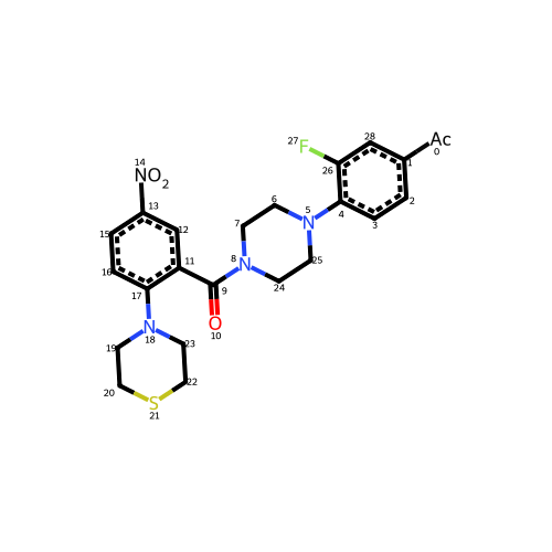 CC(=O)c1ccc(N2CCN(C(=O)c3cc([N+](=O)[O-])ccc3N3CCSCC3)CC2)c(F)c1